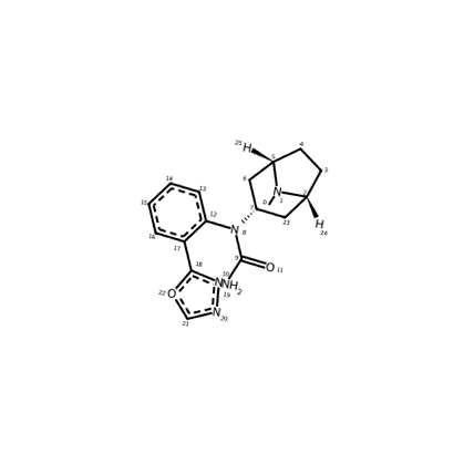 CN1[C@@H]2CC[C@H]1C[C@@H](N(C(N)=O)c1ccccc1-c1nnco1)C2